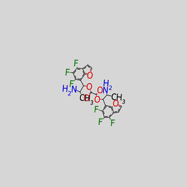 CC(N)C(OC(=O)C(=O)OC(c1c(F)c(F)c(F)c2ccoc12)C(C)N)c1c(F)c(F)c(F)c2ccoc12